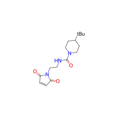 CC(C)(C)C1CCN(C(=O)NCCN2C(=O)C=CC2=O)CC1